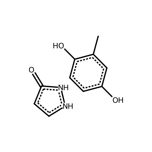 Cc1cc(O)ccc1O.O=c1cc[nH][nH]1